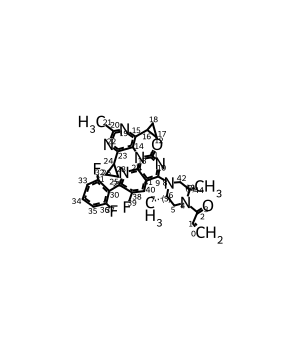 C=CC(=O)N1C[C@H](C)N(c2nc(=O)n(-c3c(C4CC4)nc(C)nc3C3CC3)c3nc(-c4c(F)cccc4F)c(F)cc23)C[C@H]1C